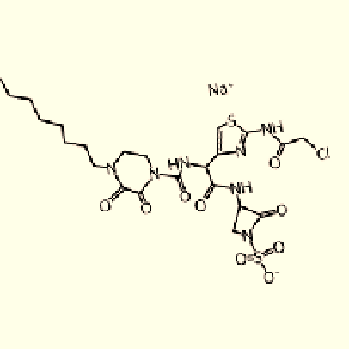 CCCCCCCCN1CCN(C(=O)NC(C(=O)NC2CN(S(=O)(=O)[O-])C2=O)c2csc(NC(=O)CCl)n2)C(=O)C1=O.[Na+]